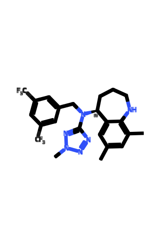 Cc1cc(C)c2c(c1)[C@@H](N(Cc1cc(C(F)(F)F)cc(C(F)(F)F)c1)c1nnn(C)n1)CCCN2